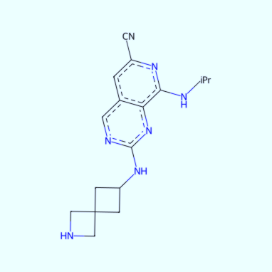 CC(C)Nc1nc(C#N)cc2cnc(NC3CC4(CNC4)C3)nc12